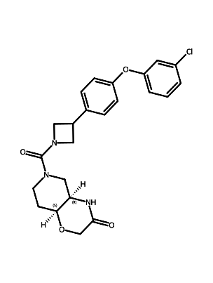 O=C1CO[C@H]2CCN(C(=O)N3CC(c4ccc(Oc5cccc(Cl)c5)cc4)C3)C[C@H]2N1